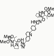 COC(=O)N[C@H](C(=O)N1CCC[C@H]1c1ncc(-c2ccc(-c3ccc4cc(-c5cnc([C@@H]6CCCN6C(=O)[C@@H](NC(=O)OC)[C@@H](C)OC)[nH]5)ccc4n3)cc2)[nH]1)[C@@H](C)OC